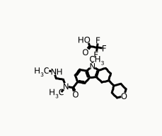 CNCCN(C)C(=O)c1ccc2c(c1)c1c(n2C)CCC(C2CCOCC2)C1.O=C(O)C(F)(F)F